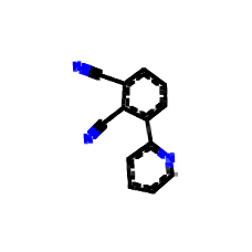 N#Cc1cccc(-c2ccc[c]n2)c1C#N